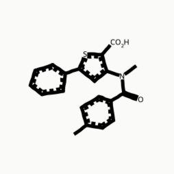 Cc1ccc(C(=O)N(C)c2cc(-c3ccccc3)sc2C(=O)O)cc1